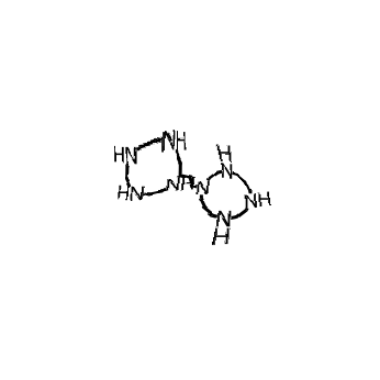 C1CNCCNCCC(CCN2CCCNCCNCCCNCC2)NCCNC1